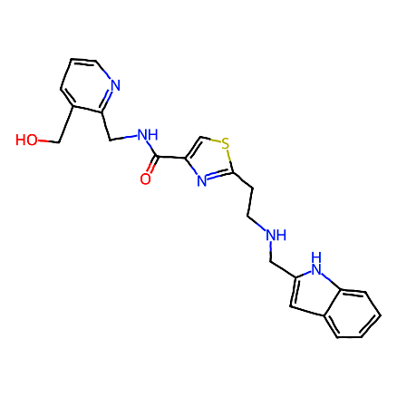 O=C(NCc1ncccc1CO)c1csc(CCNCc2cc3ccccc3[nH]2)n1